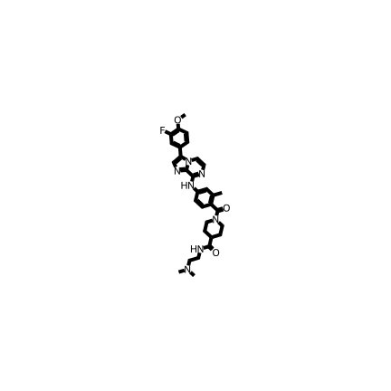 COc1ccc(-c2cnc3c(Nc4ccc(C(=O)N5CCC(C(=O)NCCN(C)C)CC5)c(C)c4)nccn23)cc1F